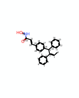 CC=C(c1ccccc1)C(c1ccccc1)c1ccc(C=CC(=O)NO)cc1